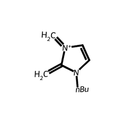 C=c1n(CCCC)cc[n+]1=C